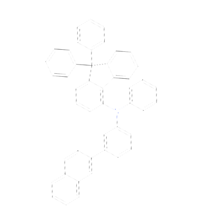 c1ccc(N(c2cccc(-c3ccc4ccccc4c3)c2)c2cccc3c2-c2ccccc2C3(c2ccccc2)c2ccccc2)cc1